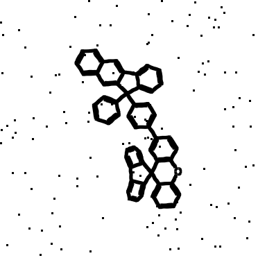 c1ccc(C2(c3ccc(-c4ccc5c(c4)C4(c6ccccc6O5)c5ccccc5-c5ccccc54)cc3)c3ccccc3-c3cc4ccccc4cc32)cc1